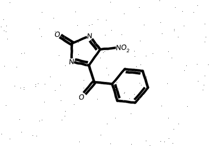 O=C1N=C(C(=O)c2ccccc2)C([N+](=O)[O-])=N1